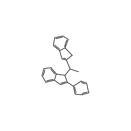 CC(C1=Cc2ccccc2C1)C1C(c2ccccc2)=Cc2ccccc21